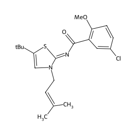 COc1ccc(Cl)cc1C(=O)/N=c1\sc(C(C)(C)C)cn1CC=C(C)C